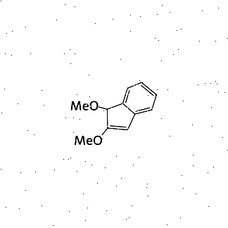 COC1=Cc2ccccc2C1OC